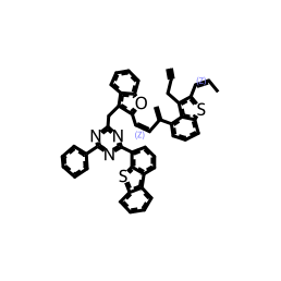 C#CCc1c(/C=C\C)sc2cccc(C(=C)/C=C\c3oc4ccccc4c3Cc3nc(-c4ccccc4)nc(-c4cccc5c4sc4ccccc45)n3)c12